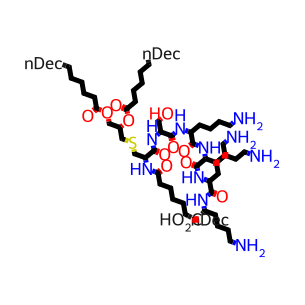 CCCCCCCCCCCCCCCC(=O)NC(CSCC(COC(=O)CCCCCCCCCCCCCCC)OC(=O)CCCCCCCCCCCCCCC)C(=O)NC(CO)C(=O)NC(CCCCN)C(=O)NC(CCCCN)C(=O)NC(CCCCN)C(=O)NC(CCCCN)C(=O)O